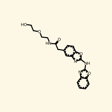 O=C(Cc1ccc2oc(Nc3nc4ccccc4o3)nc2c1)NCCOCCO